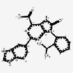 CC(C)c1ccccc1-n1c(=O)[nH]c2c(C(N)=O)nc(-c3cnc4nc[nH]c4c3)nc21